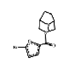 CN1C2CCC1CN(C(=O)c1ccc(Br)o1)C2